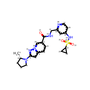 C[C@H]1CCCN1c1cc2ccc(C(=O)NCc3cc(NS(=O)(=O)C4CC4)ccn3)cn2n1